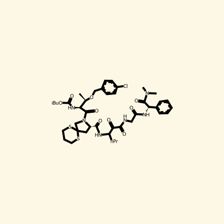 CCCC(NC(=O)[C@@H]1CC2(CN1C(=O)[C@@H](NC(=O)OCC(C)C)[C@@H](C)OCc1ccc(Cl)cc1)SCCCS2)C(=O)C(=O)NCC(=O)N[C@H](C(=O)N(C)C)c1ccccc1